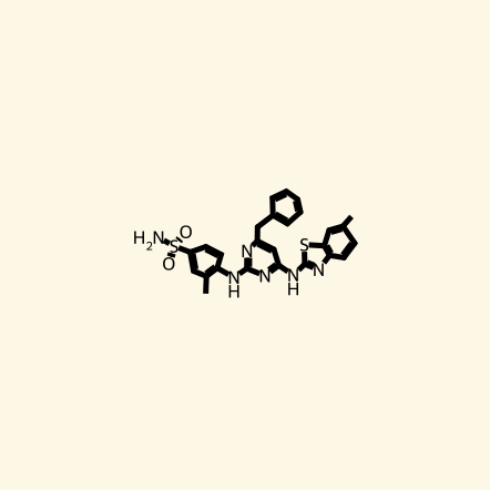 Cc1ccc2nc(Nc3cc(Cc4ccccc4)nc(Nc4ccc(S(N)(=O)=O)cc4C)n3)sc2c1